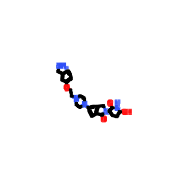 NCc1cccc(OCCN2CCN(c3ccc4c(c3)CN(C3CCC(O)NC3=O)C4=O)CC2)c1